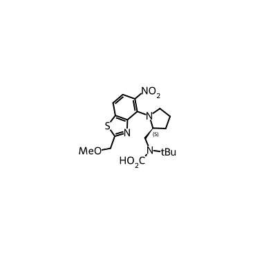 COCc1nc2c(N3CCC[C@H]3CN(C(=O)O)C(C)(C)C)c([N+](=O)[O-])ccc2s1